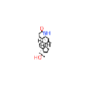 CC1CC2NC(=O)CC[C@]2(C)[C@H]2CC[C@]3(C)[C@@H](C(C)(C)O)CC[C@H]3[C@H]12